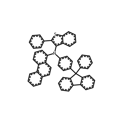 c1ccc(-c2sc3ccccc3c2N(c2ccc(C3(c4ccccc4)c4ccccc4-c4ccccc43)cc2)c2cccc3c2ccc2ccccc23)cc1